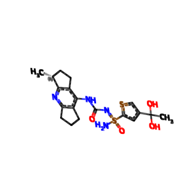 C[C@@H]1CCc2c1nc1c(c2NC(=O)N=S(N)(=O)c2cc(C(C)(O)O)cs2)CCC1